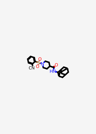 N#Cc1ccccc1S(=O)(=O)N1CCC(C(=O)NC2C3CC4CC(C3)CC2C4)CC1